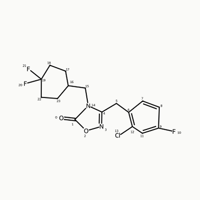 O=c1onc(Cc2ccc(F)cc2Cl)n1CC1CCC(F)(F)CC1